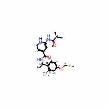 CC(C)C(=O)NC1=CC(C(=O)NC(C)c2ccc(OCF)cc2Cl)=CCN1